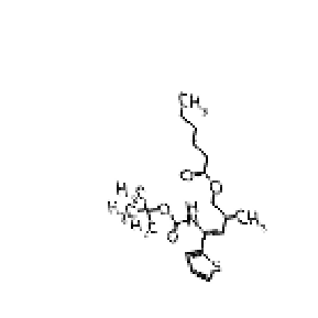 CCCCCC(=O)OCC(C)C=C(NC(=O)OC(C)(C)C)c1cccs1